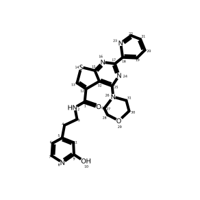 O=C(NCCc1ccnc(O)c1)c1csc2nc(-c3ccccn3)nc(N3CCOCC3)c12